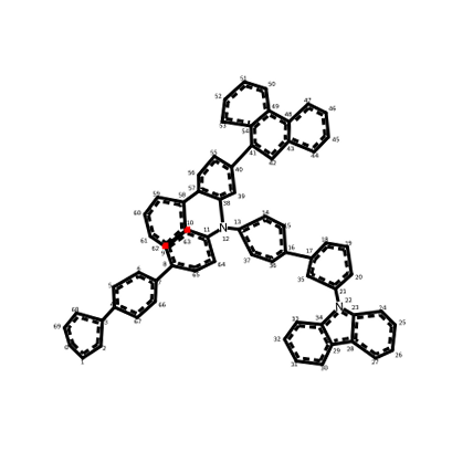 c1ccc(-c2ccc(-c3ccc(N(c4ccc(-c5cccc(-n6c7ccccc7c7ccccc76)c5)cc4)c4cc(-c5cc6ccccc6c6ccccc56)ccc4-c4ccccc4)cc3)cc2)cc1